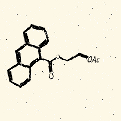 CC(=O)OCCOC(=O)c1c2ccccc2cc2ccccc12